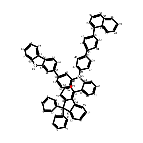 c1ccc(C2(c3ccccc3)c3ccccc3-c3c(-c4ccccc4N(c4ccc(-c5ccc(-c6cccc7ccccc67)cc5)cc4)c4cccc(-c5ccc6c(c5)oc5ccccc56)c4)cccc32)cc1